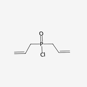 C=CCP(=O)(Cl)CC=C